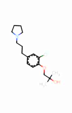 CC(C)(O)COc1ccc(CCCN2CCCC2)cc1Cl